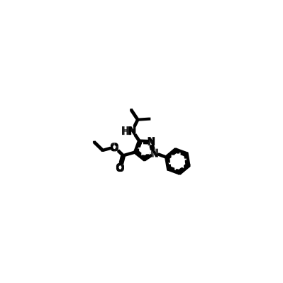 CCOC(=O)c1cn(-c2ccccc2)nc1NC(C)C